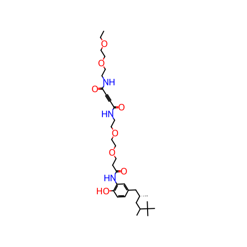 CCOCCOCCNC(=O)C#CC(=O)NCCOCCOCCC(=O)Nc1cc(C[C@H](C)CC(C)C(C)(C)C)ccc1O